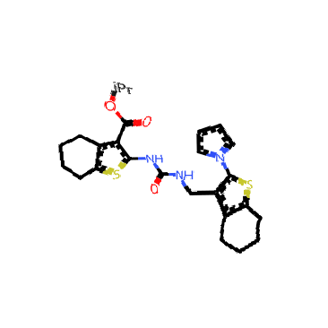 CC(C)OC(=O)c1c(NC(=O)NCc2c(-n3cccc3)sc3c2CCCC3)sc2c1CCCC2